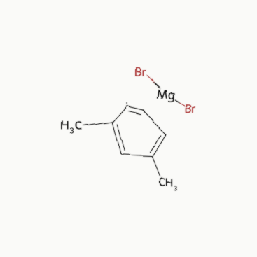 Cc1[c]ccc(C)c1.[Br][Mg][Br]